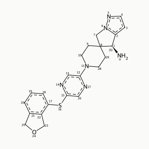 N[C@@H]1c2ccnn2CC12CCN(c1cnc(Sc3cccc4c3COC4)cn1)CC2